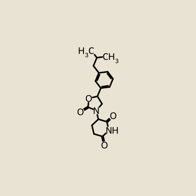 CC(C)Cc1cccc(C2CN(C3CCC(=O)NC3=O)C(=O)O2)c1